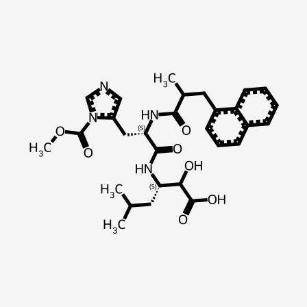 COC(=O)n1cncc1C[C@H](NC(=O)C(C)Cc1cccc2ccccc12)C(=O)N[C@@H](CC(C)C)C(O)C(=O)O